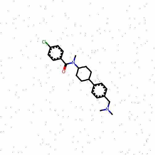 CN(C)Cc1ccc(C2CCC(N(C)C(=O)c3ccc(Cl)cc3)CC2)cc1